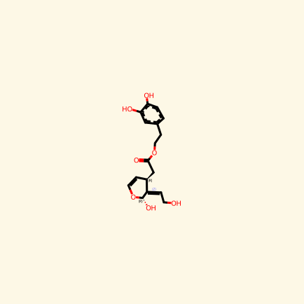 O=C(C[C@@H]1C=CO[C@@H](O)/C1=C\CO)OCCc1ccc(O)c(O)c1